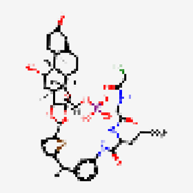 C[C@H](c1cccc(NC(=O)[C@H](CCC(=O)O)NC(=O)CNC(=O)CBr)c1)c1ccc([C@@H]2O[C@@H]3C[C@H]4[C@@H]5CCC6=CC(=O)C=C[C@]6(C)[C@H]5[C@@H](O)C[C@]4(C)[C@]3(C(=O)COP(=O)(O)O)O2)s1